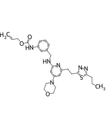 C=CCOC(=O)Nc1cccc(CNc2cc(N3CCOCC3)cc(CCc3nnc(CCC)s3)n2)c1